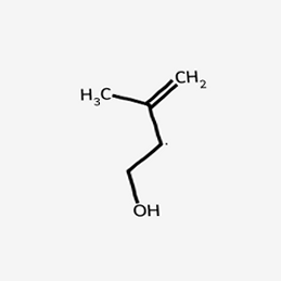 C=C(C)[CH]CO